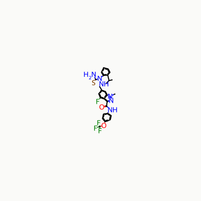 CC(C)c1ccccc1N(NCc1cc(F)c2c(C(=O)Nc3ccc(OC(F)(F)F)cc3)nn(C)c2c1)C(N)=S